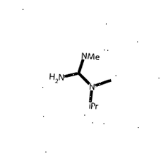 CNC(N)N(C)C(C)C